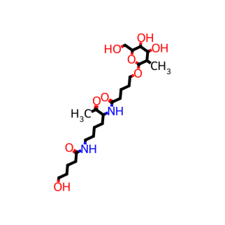 CC(=O)C(CCCCNC(=O)CCCCO)NC(=O)CCCCOC1OC(CO)C(O)C(O)C1C